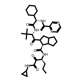 C=C(N[C@H](C(=O)N[C@H](C(=O)C1CC2CCCC2[C@H]1C(=O)N[C@@H](CCC)C(=O)C(=O)NC1CC1)C(C)(C)C)C1CCCCC1)c1cnccn1